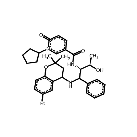 CCc1ccc2c(c1)C(NC(c1ccccc1)[C@H](NC(=O)c1ccc(=O)n(C3CCCC3)c1)[C@@H](C)O)CC(C)(C)O2